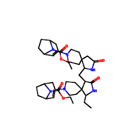 CCOC(=O)N1C2C=C(N3CCC4(CC3)CC(=O)NC4CC3C(=O)NC(CC)C34CCN(C3=CC5CCC(C3)N5C(=O)OCC)CC4)CC1CC2